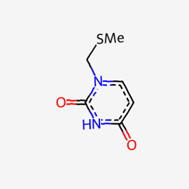 CSCn1ccc(=O)[nH]c1=O